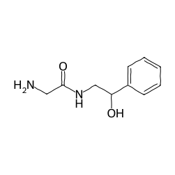 NCC(=O)NCC(O)c1ccccc1